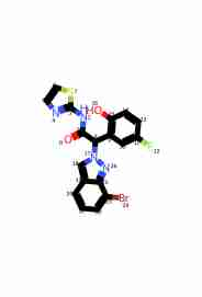 O=C(Nc1nccs1)C(c1cc(F)ccc1O)n1cc2cccc(Br)c2n1